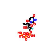 C=C[C@H](O)[C@@]1(n2ccc(=O)[nH]c2=O)O[C@](F)(COP(=O)(O)OP(=O)(O)OP(=O)(O)O)[C@H]1O